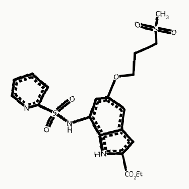 CCOC(=O)c1cc2cc(OCCCS(C)(=O)=O)cc(NS(=O)(=O)c3ccccn3)c2[nH]1